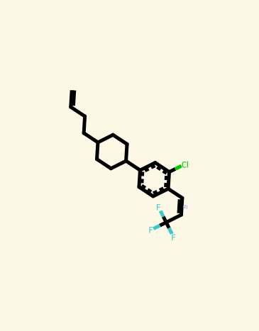 C=CCCC1CCC(c2ccc(/C=C\C(F)(F)F)c(Cl)c2)CC1